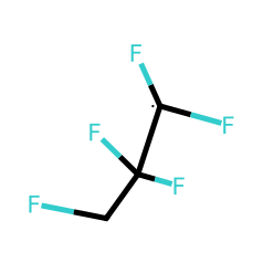 FCC(F)(F)[C](F)F